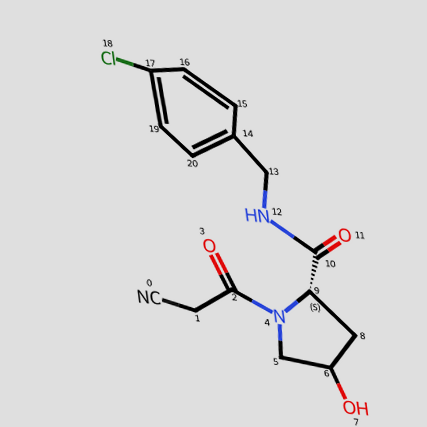 N#CCC(=O)N1CC(O)C[C@H]1C(=O)NCc1ccc(Cl)cc1